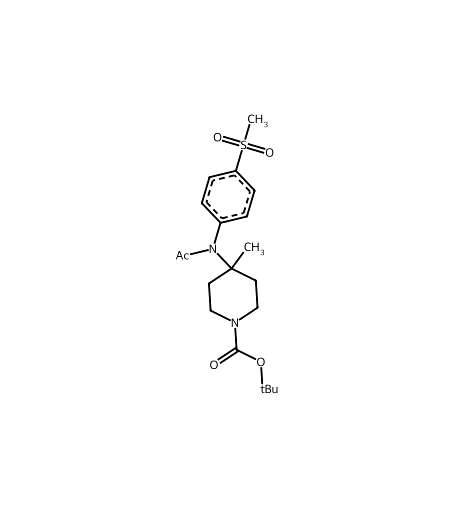 CC(=O)N(c1ccc(S(C)(=O)=O)cc1)C1(C)CCN(C(=O)OC(C)(C)C)CC1